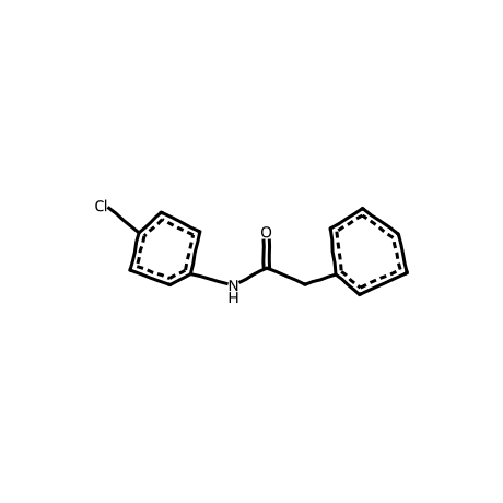 O=C(Cc1ccccc1)Nc1ccc(Cl)cc1